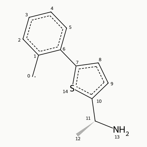 [CH2]c1ccccc1-c1ccc([C@@H](C)N)s1